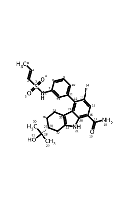 CC=CS(=O)(=O)Nc1cccc(-c2c(F)cc(C(N)=O)c3[nH]c4c(c23)CC[C@@H](C(C)(C)O)C4)c1